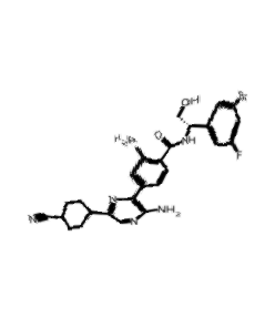 N#CC1CCC(c2cnc(N)c(-c3ccc(C(=O)N[C@H](CO)c4cc(F)cc(Br)c4)c(P)c3)n2)CC1